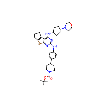 CC(C)(C)OC(=O)N1CCC(c2ccc(Nc3nc(N[C@H]4CC[C@H](N5CCOCC5)CC4)c4c5c(sc4n3)CCC5)cc2)CC1